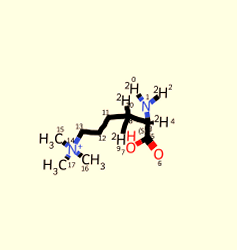 [2H]N([2H])[C@]([2H])(C(=O)O)C([2H])([2H])CCC[N+](C)(C)C